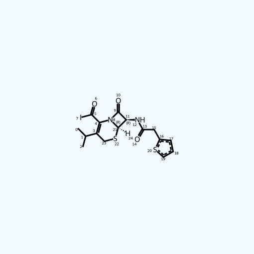 CC(C)C1=C(C(=O)I)N2C(=O)[C@@H](NC(=O)Cc3cccs3)[C@H]2SC1